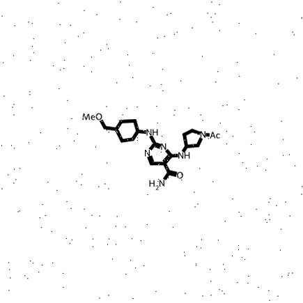 COCC1CCC(Nc2ncc(C(N)=O)c(NC3CCN(C(C)=O)C3)n2)CC1